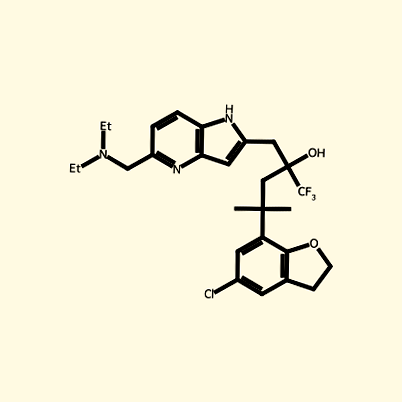 CCN(CC)Cc1ccc2[nH]c(CC(O)(CC(C)(C)c3cc(Cl)cc4c3OCC4)C(F)(F)F)cc2n1